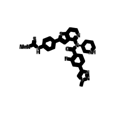 CNC(=S)Nc1ccc(-c2cc3c(N(C(=O)c4ccc(-c5cn(C)nn5)cc4F)[C@@H]4CCCNC4)nccc3s2)cc1